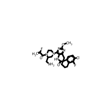 C=C(F)C(=O)N1CCN(c2nc(OC)nc3c2NC(=O)C2(CCCc4c2ccc(Cl)c4F)C3)CC1CN